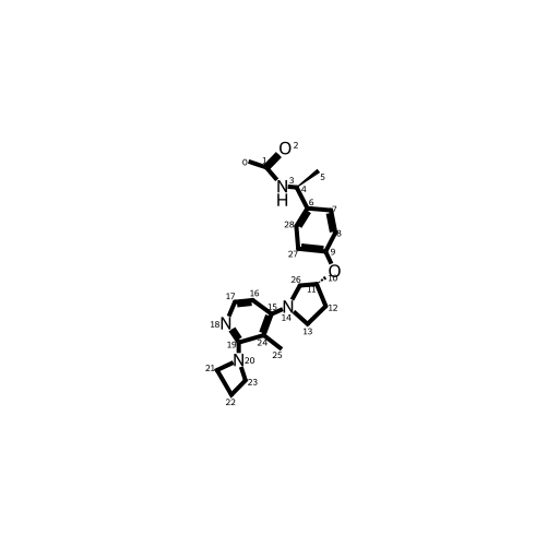 CC(=O)N[C@@H](C)c1ccc(O[C@@H]2CCN(c3ccnc(N4CCC4)c3C)C2)cc1